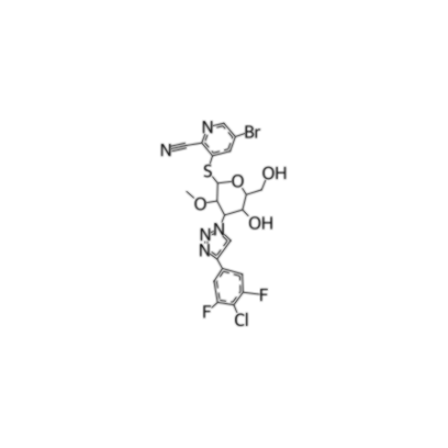 COC1C(Sc2cc(Br)cnc2C#N)OC(CO)C(O)C1n1cc(-c2cc(F)c(Cl)c(F)c2)nn1